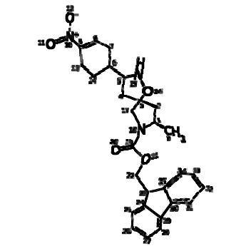 C[C@@H]1C[C@]2(CC(C3CC=C([N+](=O)[O-])CC3)NO2)CN1C(=O)OCC1c2ccccc2-c2ccccc21